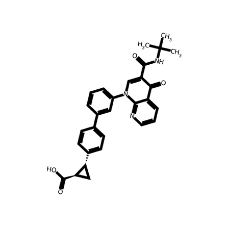 CC(C)(C)NC(=O)c1cn(-c2cccc(-c3ccc([C@@H]4C[C@H]4C(=O)O)cc3)c2)c2ncccc2c1=O